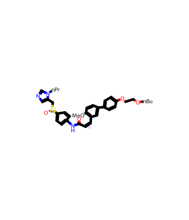 CCCCOCCOc1ccc(-c2ccc(OC)c(/C=C\C(=O)Nc3ccc([S@@+]([O-])Cc4cncn4CCC)cc3)c2)cc1